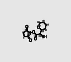 O=C(ON1C(=O)CCC1=O)C(S)C1CCCCO1